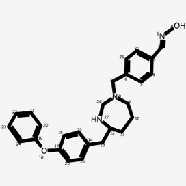 O/N=C/c1ccc(CN2CCCC(Cc3ccc(Oc4ccccc4)cc3)NC2)cc1